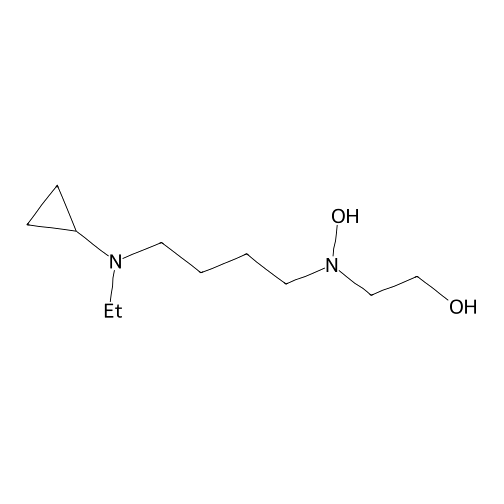 CCN(CCCCN(O)CCO)C1CC1